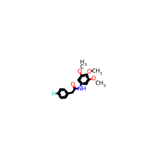 COc1cc(NC(=O)Cc2ccc(F)cc2)cc(OC)c1OC